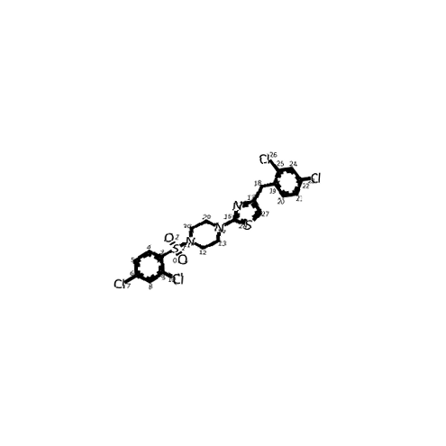 O=S(=O)(c1ccc(Cl)cc1Cl)N1CCN(c2nc(Cc3ccc(Cl)cc3Cl)cs2)CC1